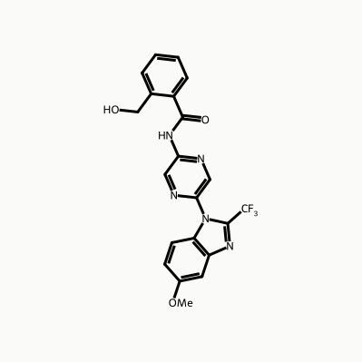 COc1ccc2c(c1)nc(C(F)(F)F)n2-c1cnc(NC(=O)c2ccccc2CO)cn1